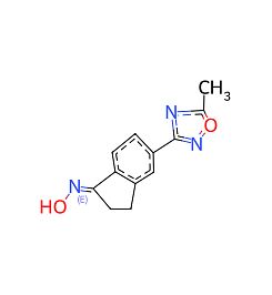 Cc1nc(-c2ccc3c(c2)CC/C3=N\O)no1